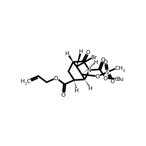 C=CCOC(=O)[C@H]1C[C@@H]2C(=O)N(C(=O)OC(C)(C)C)[C@@H]1[C@H](OS(C)(=O)=O)[C@H]2Br